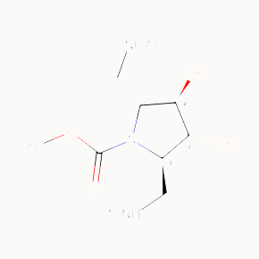 CC(=O)NC[C@@H]1[C@@H](O)[C@H](O)[C@@H](CNC(C)=O)N1C(=O)OC(C)(C)C